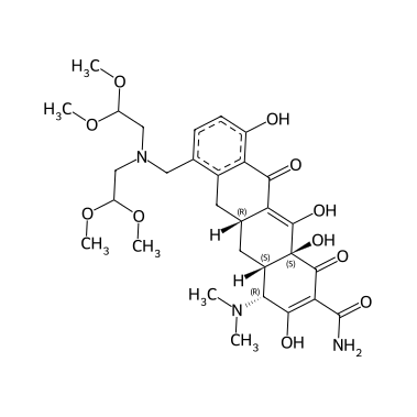 COC(CN(Cc1ccc(O)c2c1C[C@H]1C[C@H]3[C@@H](N(C)C)C(O)=C(C(N)=O)C(=O)[C@@]3(O)C(O)=C1C2=O)CC(OC)OC)OC